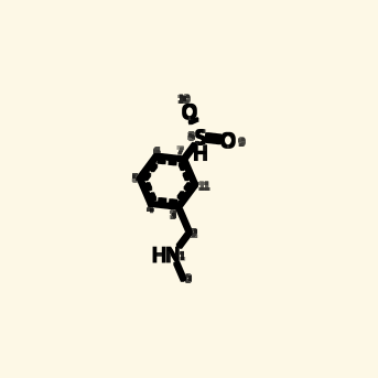 CNCc1cccc([SH](=O)=O)c1